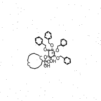 O=P(O)(O[C@H]1[C@H](O)[C@@H](OCc2ccccc2)[C@@H](OCc2ccccc2)[C@@H](OCc2ccccc2)[C@@H]1OCc1ccccc1)C1CCCCCCCCCCC1